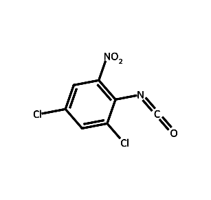 O=C=Nc1c(Cl)cc(Cl)cc1[N+](=O)[O-]